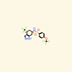 O=S(=O)(N[C@H]1Cc2[nH]ncc2[C@H](C(F)(F)F)C1)c1ccc(OC(F)(F)F)cc1